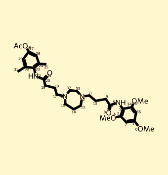 COc1cc(OC)c(NC(=O)CCCN2CCCN(CCCC(=O)Nc3c(C)cc(OC(C)=O)cc3C)CC2)c(OC)c1